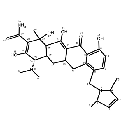 CC1C=CC(C)N1Cc1ccc(O)c2c1CC1CC3C(C(O)=C1C2=O)C(C)(O)C(C(N)=O)=C(O)[C@H]3N(C)C